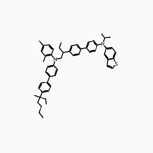 CCCCC(C)(CC)c1ccc(-c2ccc(N(CC(CC)c3ccc(-c4ccc(N(c5ccc6sccc6c5)C(C)C)cc4)cc3)c3ccc(C)cc3C)cc2)cc1